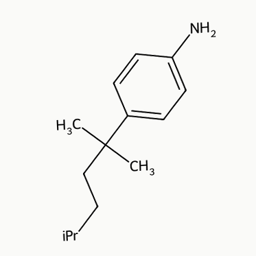 CC(C)CCC(C)(C)c1ccc(N)cc1